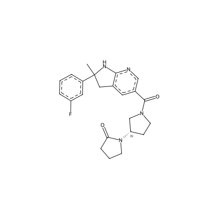 CC1(c2cccc(F)c2)Cc2cc(C(=O)N3CC[C@H](N4CCCC4=O)C3)cnc2N1